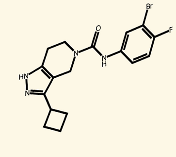 O=C(Nc1ccc(F)c(Br)c1)N1CCc2[nH]nc(C3CCC3)c2C1